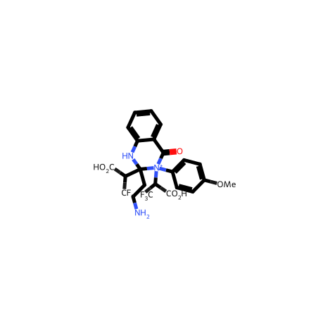 COc1ccc([N+]2(C(C(=O)O)C(F)(F)F)C(=O)c3ccccc3NC2(CCN)C(C(=O)O)C(F)(F)F)cc1